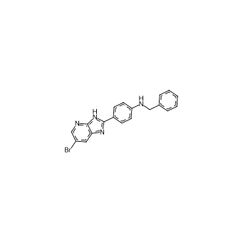 Brc1cnc2[nH]c(-c3ccc(NCc4ccccc4)cc3)nc2c1